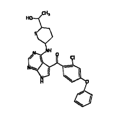 CC(O)C1CCC(Nc2ncnc3[nH]cc(C(=O)c4ccc(Oc5ccccc5)cc4Cl)c23)CS1